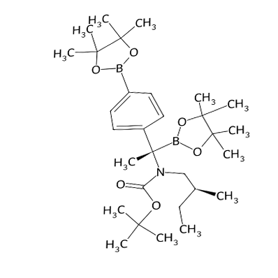 CC[C@H](C)CN(C(=O)OC(C)(C)C)[C@@](C)(B1OC(C)(C)C(C)(C)O1)c1ccc(B2OC(C)(C)C(C)(C)O2)cc1